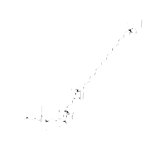 CC(=O)CCCNC(=O)CCC(NC(=O)CCCNC(=O)CCCCCCCCCCCCCCCCC(=O)O)C(=O)O